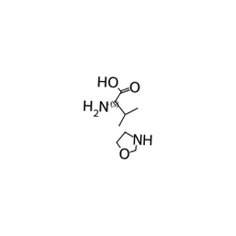 C1COCN1.CC(C)[C@H](N)C(=O)O